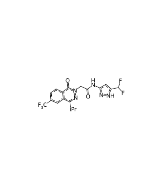 CC(C)c1nn(CC(=O)Nc2cc(C(F)F)[nH]n2)c(=O)c2ccc(C(F)(F)F)cc12